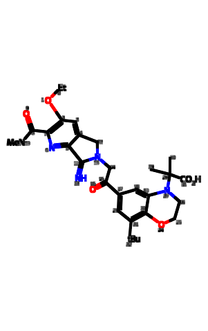 CCOc1cc2c(nc1C(=O)NC)C(=N)N(CC(=O)c1cc3c(c(C(C)(C)C)c1)OCCN3C(C)(C)C(=O)O)C2